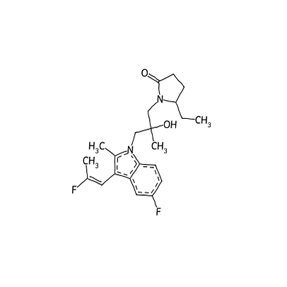 CCC1CCC(=O)N1CC(C)(O)Cn1c(C)c(/C=C(\C)F)c2cc(F)ccc21